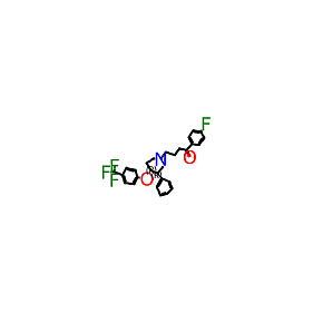 O=C(CCCN1CC[C@@H](Oc2ccc(C(F)(F)F)cc2)[C@H](c2ccccc2)C1)c1ccc(F)cc1